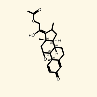 CC(=O)OCC(O)=C1C(C)C[C@H]2[C@@H]3CCC4=CC(=O)C=C[C@]4(C)[C@]34OC4C[C@]12C